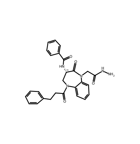 NNC(=O)CN1C(=O)[C@@H](NC(=O)c2ccccc2)CN(C(=O)CCc2ccccc2)c2ccccc21